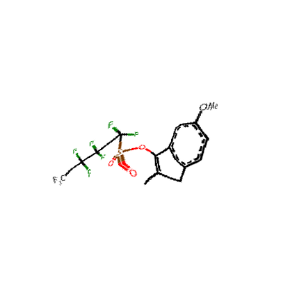 COc1ccc2c(c1)C(OS(=O)(=O)C(F)(F)C(F)(F)C(F)(F)C(F)(F)F)=C(C)C2